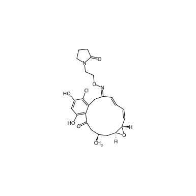 C[C@H]1CC(=O)c2c(O)cc(O)c(Cl)c2CC(=N\OCCN2CCCC2=O)/C=C/C=C\[C@@H]2O[C@H]2C1